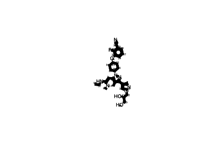 C=N/C(=C\c1c(C)c(-c2cnn(C[C@H](O)CO)c2)nn1[C@H]1CC[C@@H](Oc2cccc(C#N)c2F)CC1)NCC